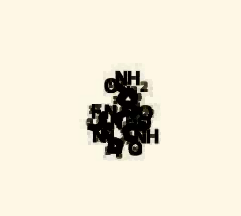 Cc1nn(C2CCC2)c2nc(C3c4cc(C(N)=O)ccc4C(=O)N3C3CCC(=O)NC3=O)nc(F)c12